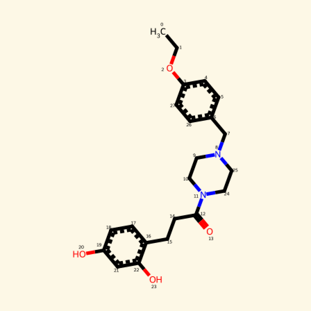 CCOc1ccc(CN2CCN(C(=O)CCc3ccc(O)cc3O)CC2)cc1